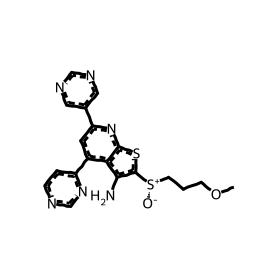 COCCC[S@+]([O-])c1sc2nc(-c3cncnc3)cc(-c3ccncn3)c2c1N